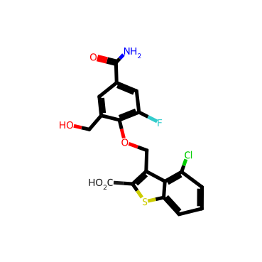 NC(=O)c1cc(F)c(OCc2c(C(=O)O)sc3cccc(Cl)c23)c(CO)c1